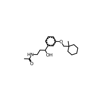 CC(=O)NCCC(O)c1cccc(OCC2(C)CCCCC2)c1